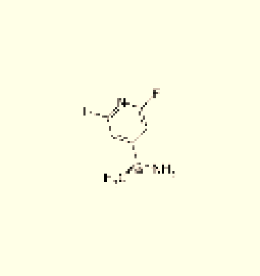 C[C@H](N)c1cc(F)nc(F)c1